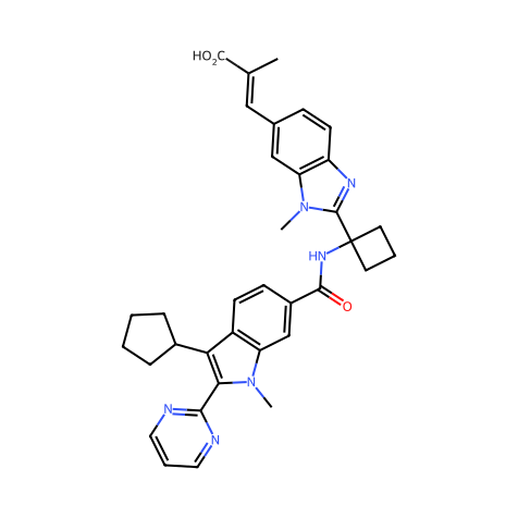 C/C(=C\c1ccc2nc(C3(NC(=O)c4ccc5c(C6CCCC6)c(-c6ncccn6)n(C)c5c4)CCC3)n(C)c2c1)C(=O)O